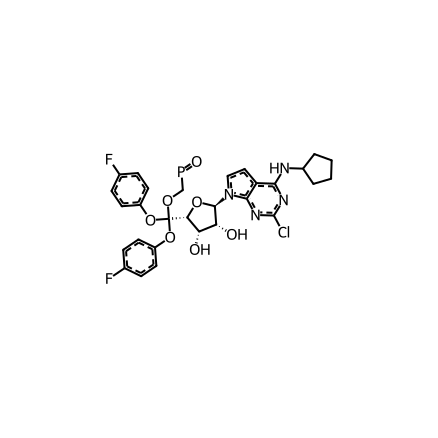 O=PCOC(Oc1ccc(F)cc1)(Oc1ccc(F)cc1)[C@@H]1O[C@@H](n2ccc3c(NC4CCCC4)nc(Cl)nc32)[C@H](O)[C@@H]1O